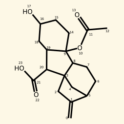 C=C1CC23CC1CCC2C1(OC(C)=O)CCC(O)CC1C3C(=O)O